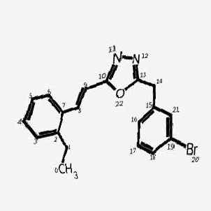 CCc1ccccc1/C=C/c1nnc(Cc2cccc(Br)c2)o1